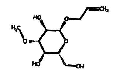 C=CCO[C@H]1O[C@H](CO)[C@@H](O)[C@H](OC)[C@H]1O